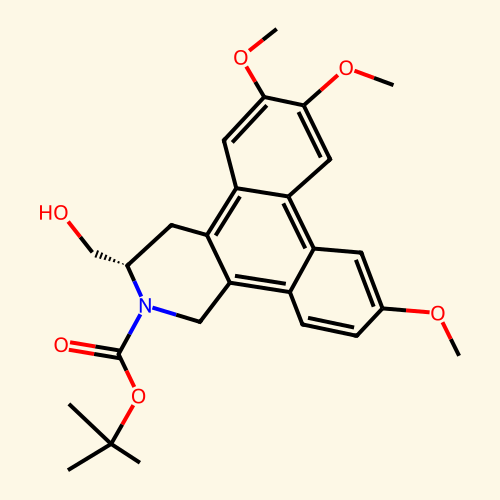 COc1ccc2c3c(c4cc(OC)c(OC)cc4c2c1)C[C@@H](CO)N(C(=O)OC(C)(C)C)C3